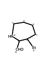 CCC1CCCCNC1C=O